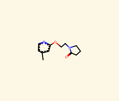 Cc1ccnc(OCCN2CCCC2=O)c1